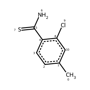 Cc1ccc(C(N)=S)c(Cl)c1